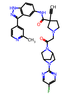 C#CC1(C(=O)Nc2ccc3[nH]nc(-c4ccnc(C)c4)c3c2)CCN(CC(=O)N2CC3CC2CN3c2ncc(F)cn2)C1